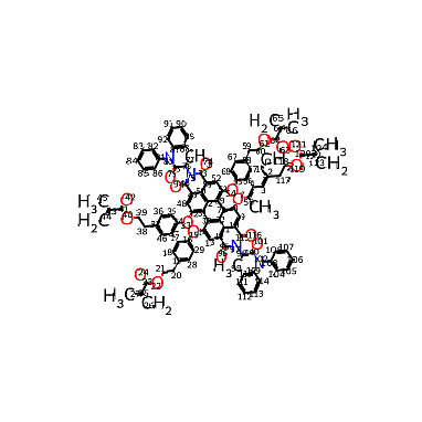 C=C/C(=C\C=C(/C)Oc1cc2c3c(cc(Oc4ccc(CCOC(=O)C(=C)C)cc4)c4c5c(Oc6ccc(CCOC(=O)C(=C)C)cc6)cc6c7c(cc(Oc8ccc(CCOC(=O)C(=C)C)cc8)c(c1c34)c75)C(=O)N(C(C)C(=O)N(c1ccccc1)c1ccccc1)C6=O)C(=O)N(C(C)C(=O)N(c1ccccc1)c1ccccc1)C2=O)CCOC(=O)C(=C)C